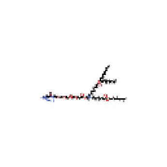 CCCCCCCCCOC(=O)CCCCCCCN(CCCCCCCC(=O)OC(CCCCCCCC)CCCCCCCC)CCOC(=O)CCOCCOCCOCCOCCNC(=O)c1c[nH]cn1